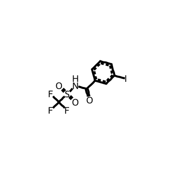 O=C(NS(=O)(=O)C(F)(F)F)c1cccc(I)c1